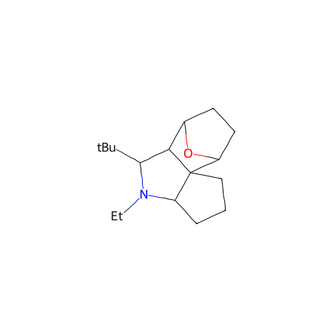 CCN1C(C(C)(C)C)C2C3CCC(O3)C23CCCC13